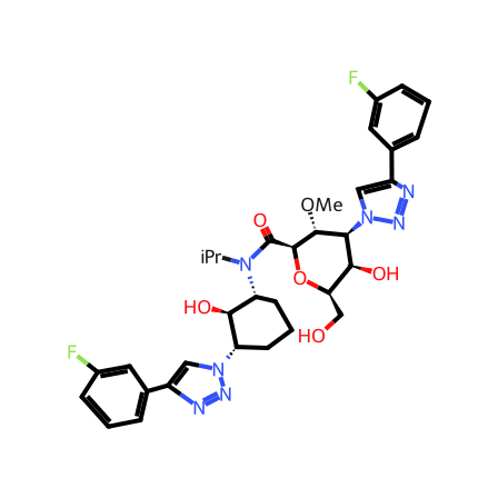 CO[C@@H]1[C@@H](n2cc(-c3cccc(F)c3)nn2)[C@@H](O)[C@@H](CO)O[C@H]1C(=O)N(C(C)C)[C@@H]1CCC[C@H](n2cc(-c3cccc(F)c3)nn2)[C@H]1O